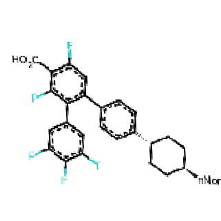 CCCCCCCCC[C@H]1CC[C@H](c2ccc(-c3cc(F)c(C(=O)O)c(F)c3-c3cc(F)c(F)c(F)c3)cc2)CC1